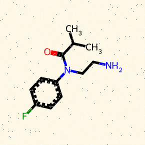 CC(C)C(=O)N(CCN)c1ccc(F)cc1